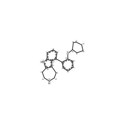 c1ccc(-c2cccc3[nH]c4c(c23)CCNCC4)c(OC2CCCCC2)c1